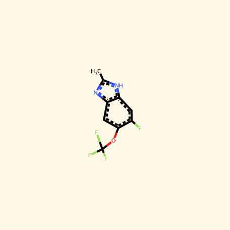 Cc1nc2cc(OC(F)(F)F)c(F)cc2[nH]1